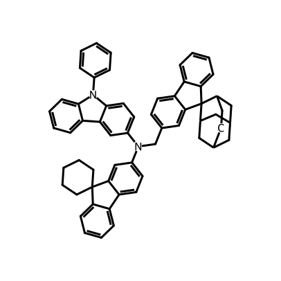 c1ccc(-n2c3ccccc3c3cc(N(Cc4ccc5c(c4)C4(c6ccccc6-5)C5CCC6CC(C5)CC4C6)c4ccc5c(c4)C4(CCCCC4)c4ccccc4-5)ccc32)cc1